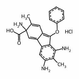 CC1=CC2=C(Oc3ccccc3)c3c(cc(N)c(C)c3N)C2=CC1(N)C(=O)O.Cl